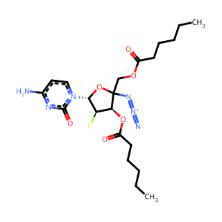 CCCCCC(=O)OCC1(N=[N+]=[N-])O[C@@H](n2ccc(N)nc2=O)[C@H](F)[C@@H]1OC(=O)CCCCC